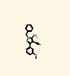 COc1cccc(-c2nn(Cc3ccccc3)c(N)c2C#N)c1